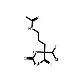 CC(=O)NCCCC(NC(C)=O)(C(N)=O)C(Cl)Cl